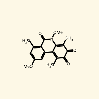 COc1cc([SiH3])c2c(=O)n(OC)c3c(c2c1)=C([SiH3])C(=O)C(=O)C=3[SiH3]